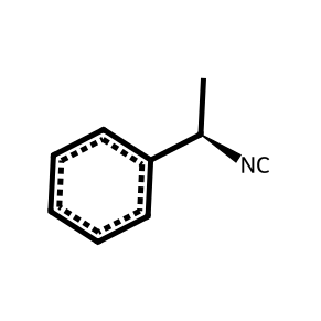 [C-]#[N+][C@H](C)c1ccccc1